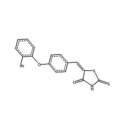 CC(C)c1ccccc1Oc1ccc(C=C2SC(=S)NC2=O)cc1